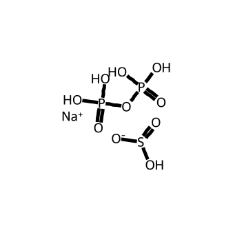 O=P(O)(O)OP(=O)(O)O.O=S([O-])O.[Na+]